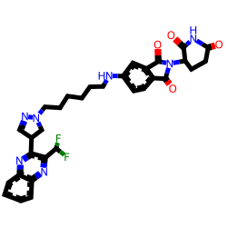 O=C1CCC(N2C(=O)c3ccc(NCCCCCCN4CC(c5nc6ccccc6nc5C(F)F)C=N4)cc3C2=O)C(=O)N1